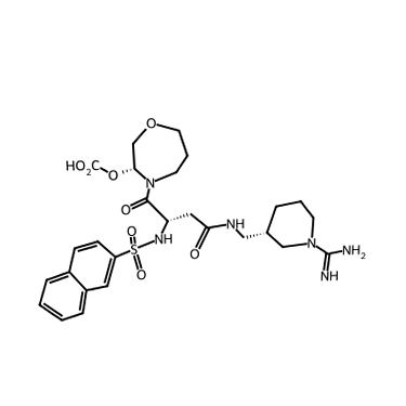 N=C(N)N1CCC[C@@H](CNC(=O)C[C@H](NS(=O)(=O)c2ccc3ccccc3c2)C(=O)N2CCCOC[C@H]2OC(=O)O)C1